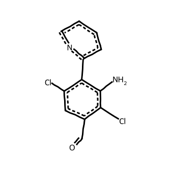 Nc1c(Cl)c(C=O)cc(Cl)c1-c1ccccn1